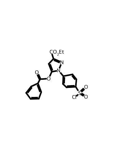 CCOC(=O)c1cc(OC(=O)c2ccccc2)n(-c2ccc(S(=O)(=O)Cl)cc2)n1